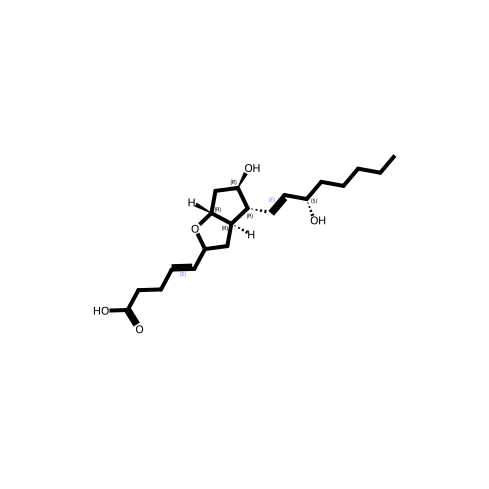 CCCCC[C@H](O)/C=C/[C@@H]1[C@H]2CC(/C=C/CCC(=O)O)O[C@@H]2C[C@H]1O